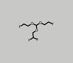 FCCOC(OCCF)OCC(F)F